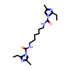 CCc1nc(C)cn1C(=O)NCCCCCCNC(=O)n1cc(C)nc1CC